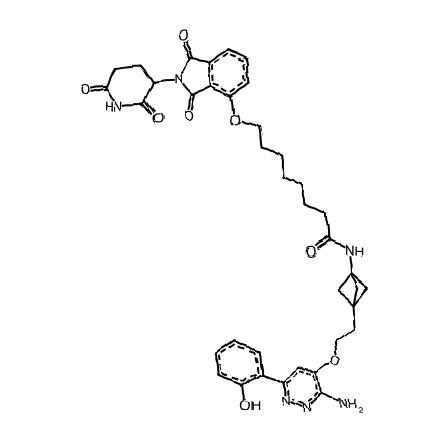 Nc1nnc(-c2ccccc2O)cc1OCCC12CC(NC(=O)CCCCCCCOc3cccc4c3C(=O)N(C3CCC(=O)NC3=O)C4=O)(C1)C2